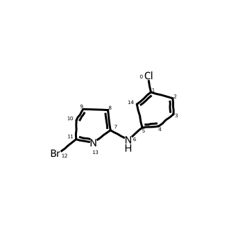 Clc1cccc(Nc2cccc(Br)n2)c1